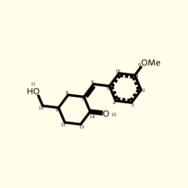 COc1cccc(/C=C2/CC(CO)CCC2=O)c1